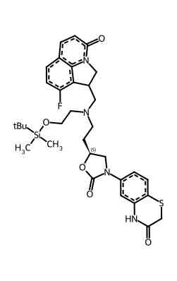 CC(C)(C)[Si](C)(C)OCCN(CC[C@H]1CN(c2ccc3c(c2)NC(=O)CS3)C(=O)O1)CC1Cn2c(=O)ccc3ccc(F)c1c32